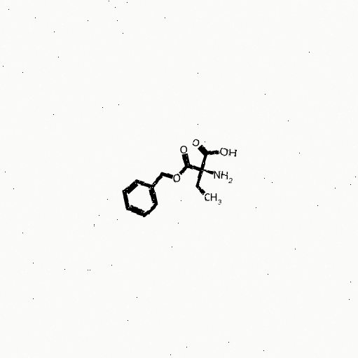 CC[C@@](N)(C(=O)O)C(=O)OCc1ccccc1